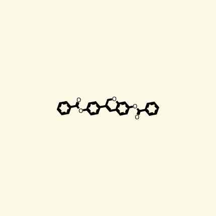 O=C(Oc1ccc(C2=Cc3ccc(OC(=O)c4ccccc4)cc3OC2)cc1)c1ccccc1